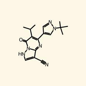 CC(C)c1c(-c2cnn(C(C)(C)C)c2)nc2c(C#N)c[nH]n2c1=O